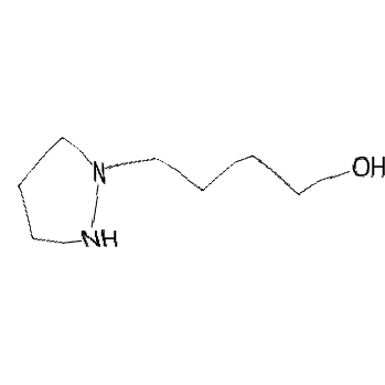 OCCCCN1CCCN1